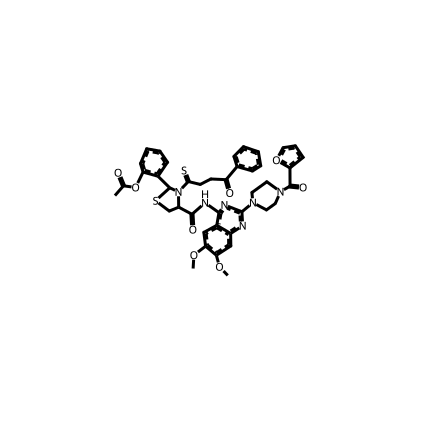 COc1cc2nc(N3CCN(C(=O)c4ccco4)CC3)nc(NC(=O)C3CSC(c4ccccc4OC(C)=O)N3C(=S)CCC(=O)c3ccccc3)c2cc1OC